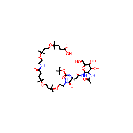 CC(=O)NC1C(NC(=O)C[C@H](NC(=O)OC(C)(C)C)C(=O)NCCOC(C)(C)CCOC(C)(C)CCC(=O)NCCOC(C)(C)CCOC(C)(C)CCC(=O)O)OC(CO)C(O)C1O